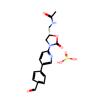 CC(=O)NC[C@H]1CN(c2ccc(-c3ccc(C=O)cc3)cn2)C(=O)O1.O=S(O)O